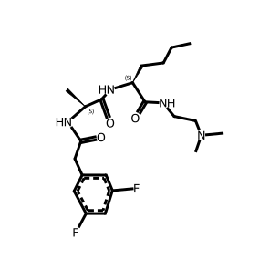 CCCC[C@H](NC(=O)[C@H](C)NC(=O)Cc1cc(F)cc(F)c1)C(=O)NCCN(C)C